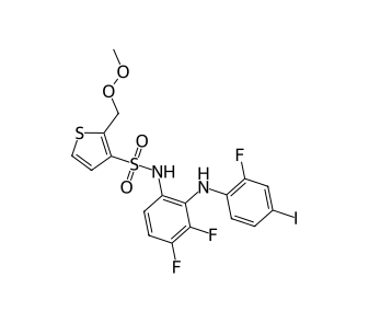 COOCc1sccc1S(=O)(=O)Nc1ccc(F)c(F)c1Nc1ccc(I)cc1F